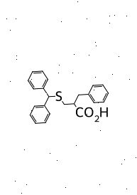 O=C(O)C(CSC(c1ccccc1)c1ccccc1)Cc1ccccc1